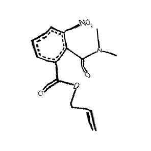 C=CCOC(=O)c1cccc([N+](=O)[O-])c1C(=O)N(C)C